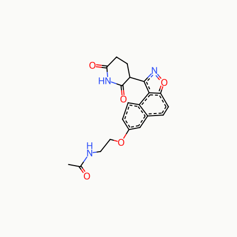 CC(=O)NCCOc1ccc2c(ccc3onc(C4CCC(=O)NC4=O)c32)c1